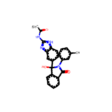 COC(=O)Nc1nc2cc(C3(O)c4ccccc4C(=O)N3c3cccc(C#N)c3)ccc2[nH]1